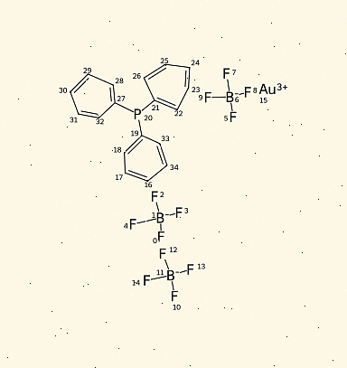 F[B-](F)(F)F.F[B-](F)(F)F.F[B-](F)(F)F.[Au+3].c1ccc(P(c2ccccc2)c2ccccc2)cc1